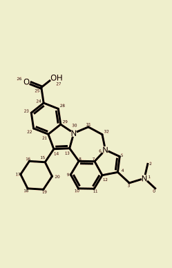 CN(C)Cc1cn2c3c(cccc13)-c1c(C3CCCCC3)c3ccc(C(=O)O)cc3n1CC2